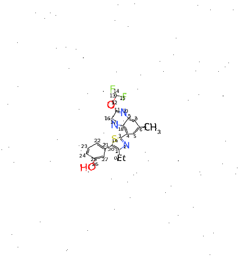 CCc1nc(-c2cc(C)cc3nc(OC(F)F)cnc23)sc1-c1cccc(O)c1